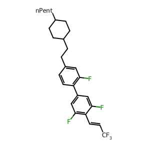 CCCCCC1CCC(CCc2ccc(-c3cc(F)c(/C=C/C(F)(F)F)c(F)c3)c(F)c2)CC1